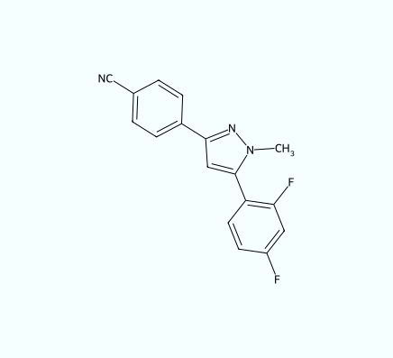 Cn1nc(-c2ccc(C#N)cc2)cc1-c1ccc(F)cc1F